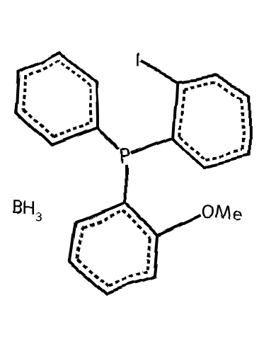 B.COc1ccccc1P(c1ccccc1)c1ccccc1I